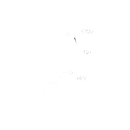 COC(=O)[C@@H]1C[C@@H](OCc2ccccc2)CN1.Cl